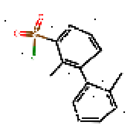 Cc1ccccc1-c1cccc(S(=O)(=O)Cl)c1C